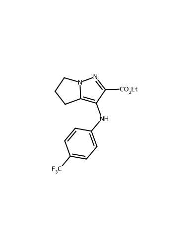 CCOC(=O)c1nn2c(c1Nc1ccc(C(F)(F)F)cc1)CCC2